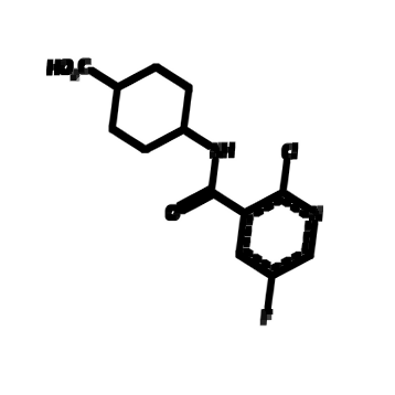 O=C(NC1CCC(C(=O)O)CC1)c1cc(F)cnc1Cl